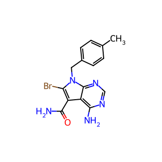 Cc1ccc(Cn2c(Br)c(C(N)=O)c3c(N)ncnc32)cc1